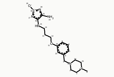 CN1CCN(Cc2cccc(OCCCNc3n[s+]([O-])nc3N)c2)CC1